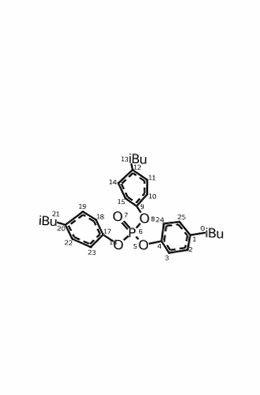 CCC(C)c1ccc(OP(=O)(Oc2ccc(C(C)CC)cc2)Oc2ccc(C(C)CC)cc2)cc1